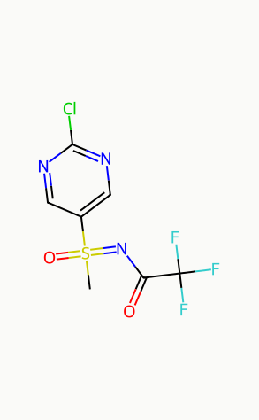 CS(=O)(=NC(=O)C(F)(F)F)c1cnc(Cl)nc1